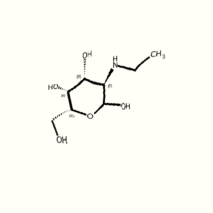 CCN[C@H]1C(O)O[C@H](CO)[C@H](O)[C@@H]1O